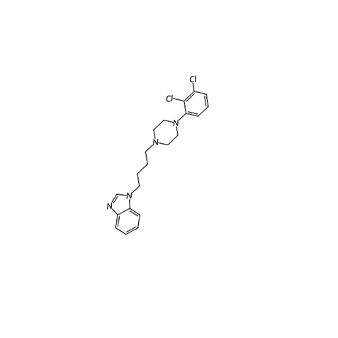 Clc1cccc(N2CCN(CCCCn3cnc4ccccc43)CC2)c1Cl